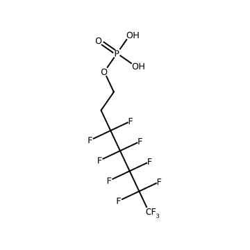 O=P(O)(O)OCCC(F)(F)C(F)(F)C(F)(F)C(F)(F)C(F)(F)F